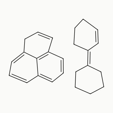 C1=CC(=C2CCCCC2)CCC1.C1=Cc2cccc3cccc(c23)C1